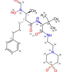 C[C@@H]([C@@H](CCCc1ccccc1)C(=O)N[C@H](C(=O)NCCN1CCS(=O)(=O)CC1)C(C)(C)C)N(O)C=O